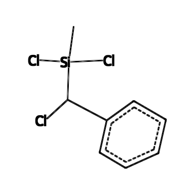 C[Si](Cl)(Cl)C(Cl)c1ccccc1